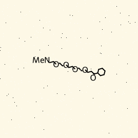 CNCCOCCOCCOCCOCCC(=O)C1CCCCC1